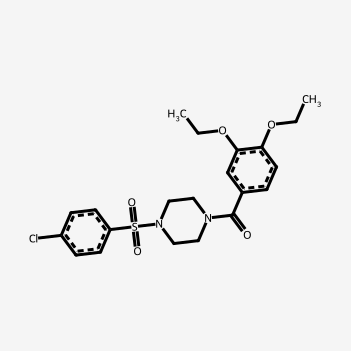 CCOc1ccc(C(=O)N2CCN(S(=O)(=O)c3ccc(Cl)cc3)CC2)cc1OCC